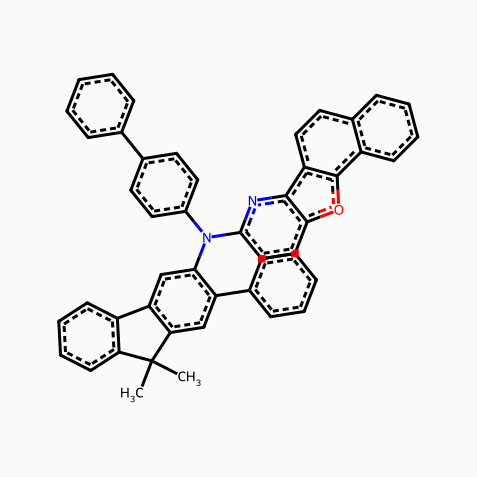 CC1(C)c2ccccc2-c2cc(N(c3ccc(-c4ccccc4)cc3)c3ccc4oc5c6ccccc6ccc5c4n3)c(-c3ccccc3)cc21